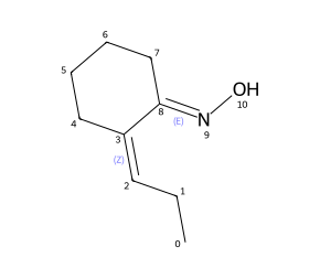 CC/C=C1/CCCC/C1=N\O